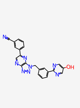 N#Cc1cccc(-c2cnc3nnn(Cc4cccc(-c5ncc(O)cn5)c4)c3n2)c1